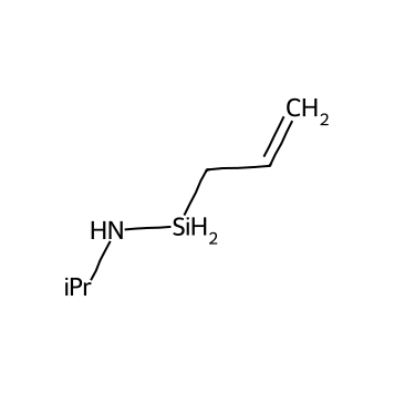 C=CC[SiH2]NC(C)C